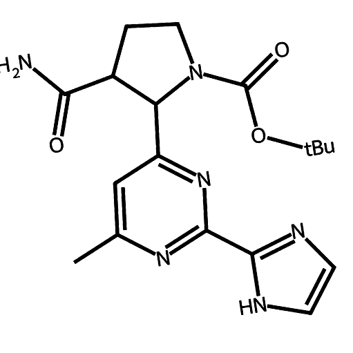 Cc1cc(C2C(C(N)=O)CCN2C(=O)OC(C)(C)C)nc(-c2ncc[nH]2)n1